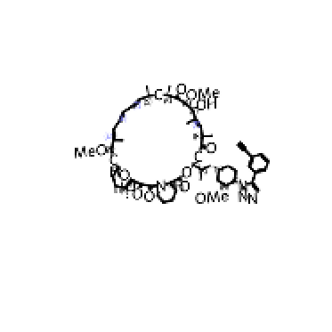 C#Cc1cccc(-c2cnnn2[C@H]2CC[C@@H](C[C@@H](C)[C@@H]3CC(=O)[C@H](C)/C=C(\C)[C@@H](O)[C@@H](OC)C(=O)[C@H](C)C[C@H](C)/C=C/C=C/C=C(\C)[C@@H](OC)C[C@@H]4CC[C@@H](C)[C@@](O)(O4)C(=O)C(=O)N4CCCC[C@H]4C(=O)O3)C[C@H]2OC)c1